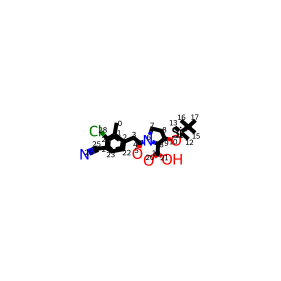 Cc1c(CC(=O)N2CCC(O[Si](C)(C)C(C)(C)C)C2C(=O)O)ccc(C#N)c1Cl